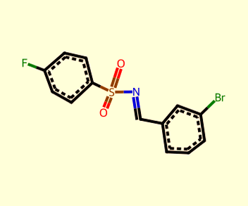 O=S(=O)(/N=C/c1cccc(Br)c1)c1ccc(F)cc1